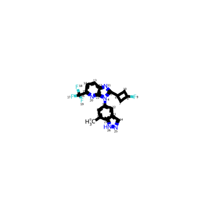 Cc1cc(-n2c(C3CC(F)C3)nc3ccc(C(F)(F)F)nc32)cc2cn[nH]c12